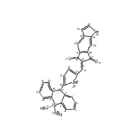 CCCC[Si]1(CCCC)c2ccccc2N(c2ccc(/C=C3\C(=O)c4cc5cc[se]c5cc4C3=O)[se]2)c2ccccc21